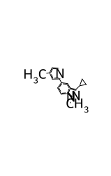 Cc1ccnc(-c2ccc3c(c2)c(C2CC2)nn3C)c1